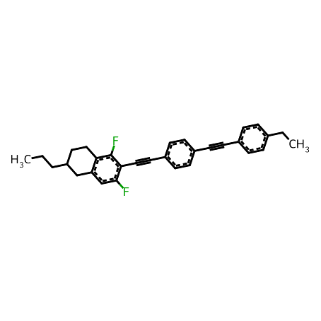 CCCC1CCc2c(cc(F)c(C#Cc3ccc(C#Cc4ccc(CC)cc4)cc3)c2F)C1